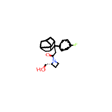 O=C(CC1(c2ccc(F)cc2)C2CC3CC(C2)CC1C3)N1CC[C@@H]1CO